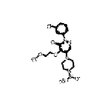 CCCC[S+]([O-])N1CCN(c2cnn(-c3cccc(Cl)c3)c(=O)c2OCCOCC)CC1